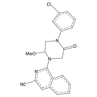 COC1CN(c2cccc(Cl)c2)C(=O)CN1c1nc(C#N)cc2ccccc12